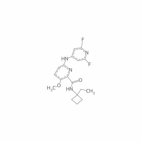 CCC1(NC(=O)c2nc(Nc3cc(F)nc(F)c3)ccc2OC)CCC1